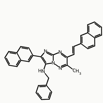 Cc1nn2c(NCc3ccccc3)c(-c3ccc4ccccc4c3)nc2nc1C=Cc1ccc2ccccc2c1